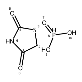 O=C1CSC(=O)N1.O=[PH](O)O